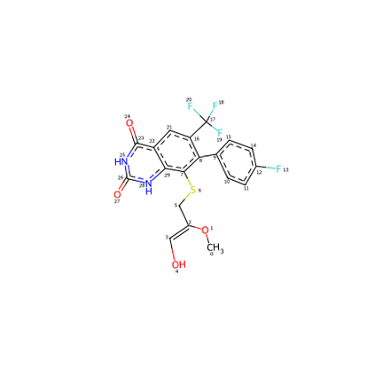 CO/C(=C\O)CSc1c(-c2ccc(F)cc2)c(C(F)(F)F)cc2c(=O)[nH]c(=O)[nH]c12